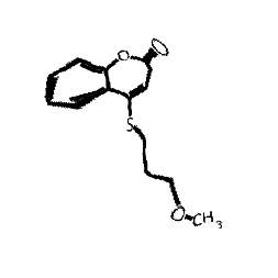 COCCCSc1cc(=O)oc2ccccc12